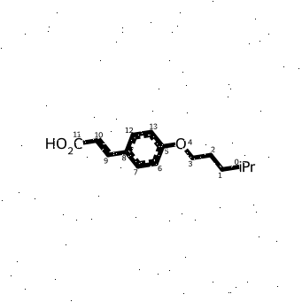 CC(C)CCCOc1ccc(C=CC(=O)O)cc1